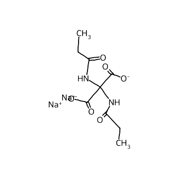 CCC(=O)NC(NC(=O)CC)(C(=O)[O-])C(=O)[O-].[Na+].[Na+]